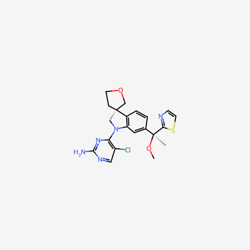 CO[C@@](C)(c1ccc2c(c1)N(c1nc(N)ncc1Cl)C[C@@]21CCOC1)c1nccs1